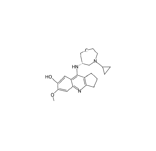 COc1cc2nc3c(c(N[C@@H]4CCCCN(C5CC5)C4)c2cc1O)CCC3